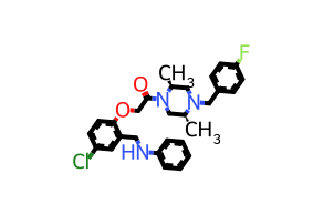 C[C@@H]1CN(C(=O)COc2ccc(Cl)cc2CNc2ccccc2)[C@@H](C)CN1Cc1ccc(F)cc1